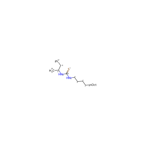 CCCCCCCCCCCCNC(=S)NC(C)CC(C)C